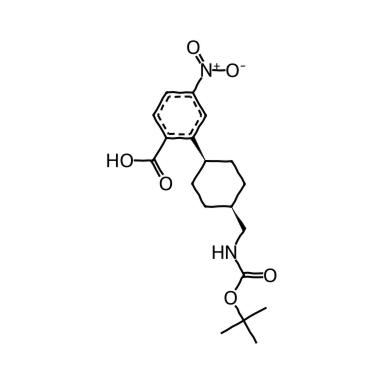 CC(C)(C)OC(=O)NC[C@H]1CC[C@@H](c2cc([N+](=O)[O-])ccc2C(=O)O)CC1